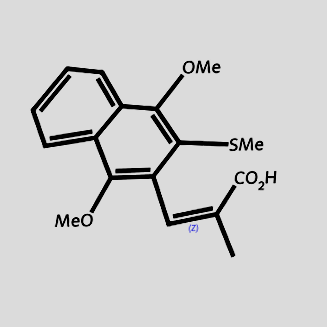 COc1c(/C=C(/C)C(=O)O)c(SC)c(OC)c2ccccc12